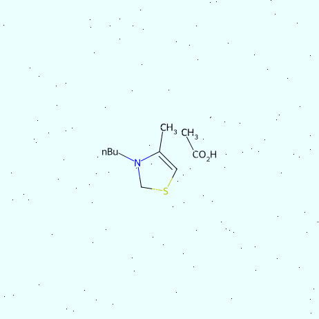 CC(=O)O.CCCCN1CSC=C1C